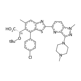 Cc1cc2nc(-c3ccc4c(n3)c(N3CCN(C)CC3)nn4C)sc2c(-c2ccc(Cl)cc2)c1[C@H](OC(C)(C)C)C(=O)O